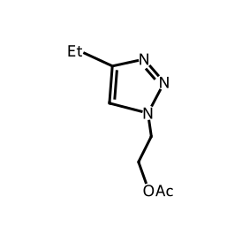 CCc1cn(CCOC(C)=O)nn1